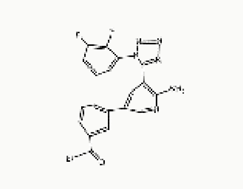 CCC(=O)c1cccc(-c2cnc(N)c(-c3nnnn3-c3cccc(F)c3F)c2)c1